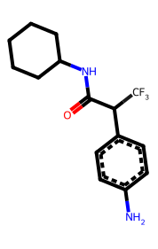 Nc1ccc(C(C(=O)NC2CCCCC2)C(F)(F)F)cc1